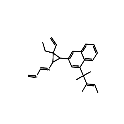 C=CC1(CC)C(/N=C/N=C)C1c1cc(C(C)(C)/C(C)=C/C)c2ccccc2c1